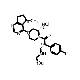 C[C@@H]1CCc2ncnc(N3CCN(C(=O)[C@@H](CNCC(C)(C)C)c4ccc(Cl)cc4)CC3)c21.Cl.Cl